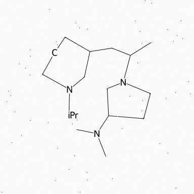 CC(C)N1CCCC(CC(C)N2CCC(N(C)C)C2)C1